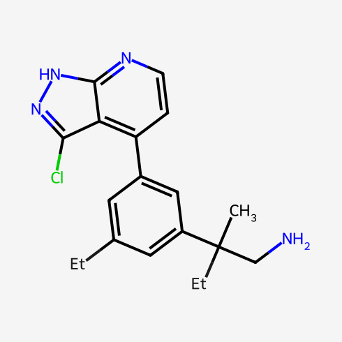 CCc1cc(-c2ccnc3[nH]nc(Cl)c23)cc(C(C)(CC)CN)c1